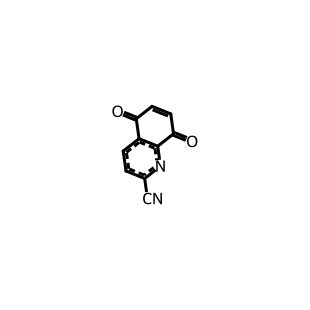 N#Cc1ccc2c(n1)C(=O)C=CC2=O